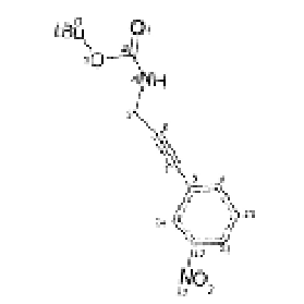 CC(C)(C)OC(=O)NCC#Cc1cccc([N+](=O)[O-])c1